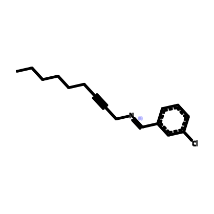 CCCCCCC#CC/N=C/c1cccc(Cl)c1